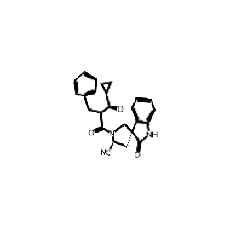 N#C[C@@H]1C[C@@]2(CN1C(=O)C(Cc1ccccc1)C(=O)C1CC1)C(=O)Nc1ccccc12